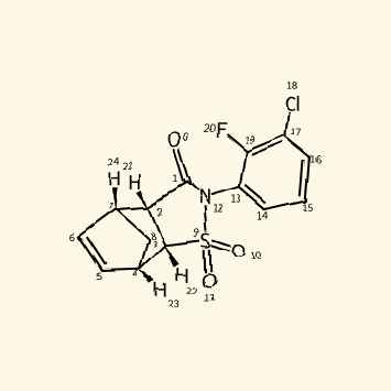 O=C1[C@@H]2[C@@H]([C@@H]3C=C[C@H]2C3)S(=O)(=O)N1c1cccc(Cl)c1F